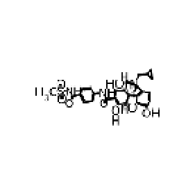 CS(=O)(=O)NC(=O)c1ccc(NC(=O)C2=C(O)[C@@H]3Oc4c(O)ccc5c4[C@@]34CCN(CC3CC3)[C@H](C5)[C@]4(O)C2)cc1